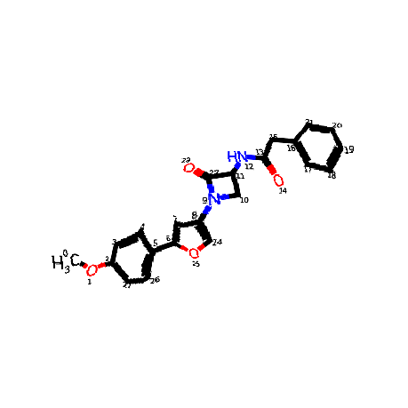 COc1ccc(-c2cc(N3CC(NC(=O)Cc4ccccc4)C3=O)co2)cc1